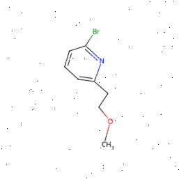 COCCc1cccc(Br)n1